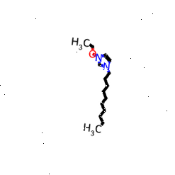 CCCCCCCCCCN1C=CN(OCC)C1